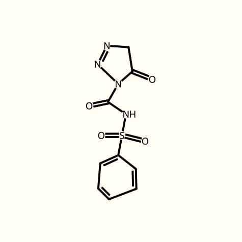 O=C1CN=NN1C(=O)NS(=O)(=O)c1ccccc1